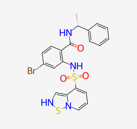 C[C@@H](NC(=O)c1ccc(Br)cc1NS(=O)(=O)C1=CC=CN2SNC=C12)c1ccccc1